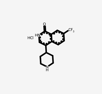 Cl.O=c1[nH]cc(C2CCNCC2)c2ccc(C(F)(F)F)cc12